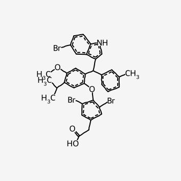 COc1cc(C(c2cccc(C)c2)c2c[nH]c3ccc(Br)cc23)c(Oc2c(Br)cc(CC(=O)O)cc2Br)cc1C(C)C